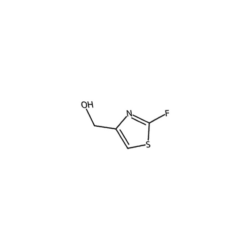 OCc1csc(F)n1